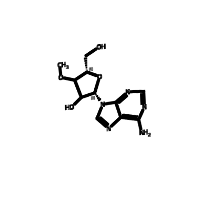 COC1C(O)[C@@H](n2cnc3c(N)ncnc32)O[C@H]1CO